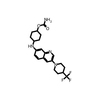 NC(=O)OC1CCC(Nc2ccc3cc(N4CCC(C(F)(F)F)CC4)cnc3c2)CC1